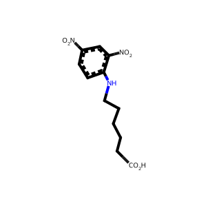 O=C(O)CCCCCNc1ccc([N+](=O)[O-])cc1[N+](=O)[O-]